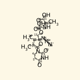 C[C@H]1[C@H](n2ccc(=O)[nH]c2=O)O[C@@](COP(=O)(O)N[C@@H](C)C(=O)O)(N=[N+]=[N-])[C@H]1C